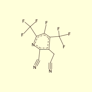 N#CCc1c(C#N)nc(C(F)(F)F)c(F)c1C(F)(F)F